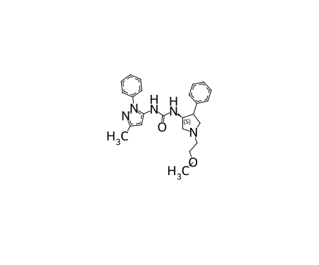 COCCN1CC(c2ccccc2)[C@H](NC(=O)Nc2cc(C)nn2-c2ccccc2)C1